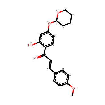 COc1ccc(C=CC(=O)c2ccc(OC3CCCCO3)cc2O)cc1